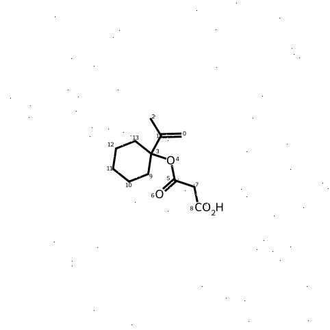 C=C(C)C1(OC(=O)CC(=O)O)CCCCC1